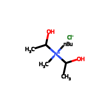 CCCC[N+](C)(C(C)O)C(C)O.[Cl-]